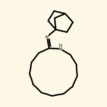 C1CCCCCNC(=NC23CCC(CC2)C3)CCCCC1